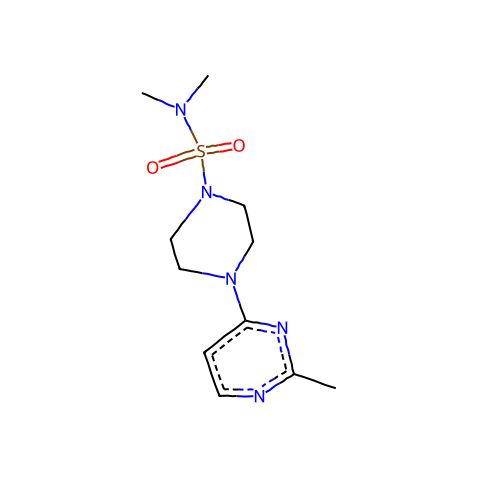 Cc1nccc(N2CCN(S(=O)(=O)N(C)C)CC2)n1